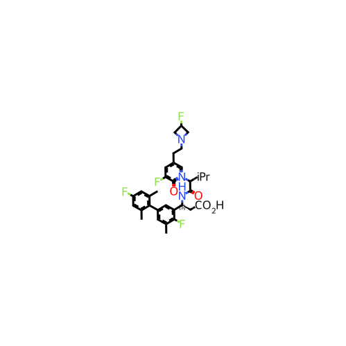 Cc1cc(-c2c(C)cc(F)cc2C)cc([C@H](CC(=O)O)NC(=O)C(C(C)C)n2cc(CCN3CC(F)C3)cc(F)c2=O)c1F